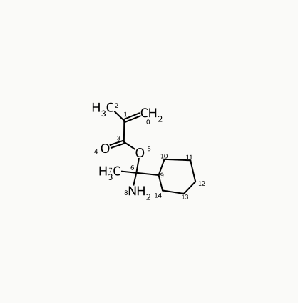 C=C(C)C(=O)OC(C)(N)C1CCCCC1